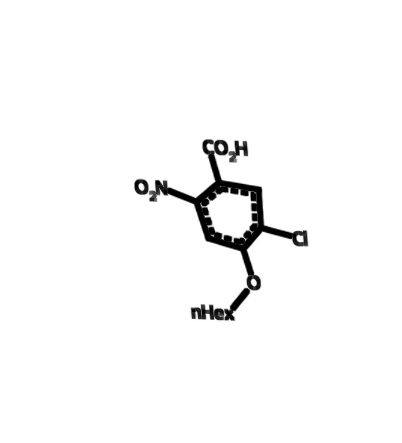 CCCCCCOc1cc([N+](=O)[O-])c(C(=O)O)cc1Cl